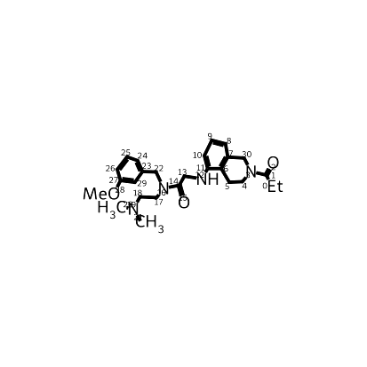 CCC(=O)N1CCc2c(cccc2NCC(=O)N(CCN(C)C)Cc2cccc(OC)c2)C1